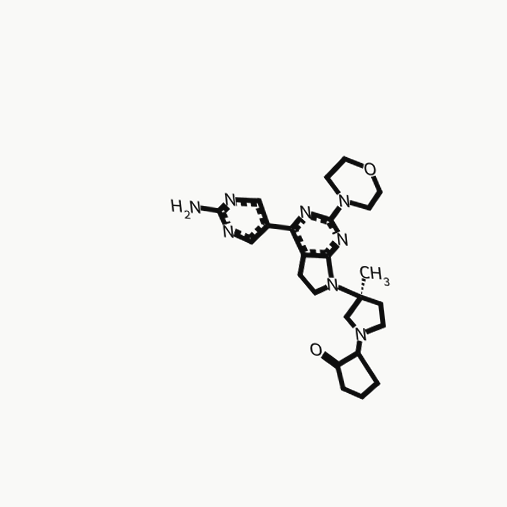 C[C@]1(N2CCc3c(-c4cnc(N)nc4)nc(N4CCOCC4)nc32)CCN(C2CCCC2=O)C1